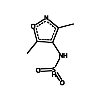 Cc1noc(C)c1N[SH](=O)=O